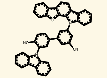 N#Cc1cc(-c2ccc(C#N)c(-n3c4ccccc4c4ccccc43)c2)cc(-n2c3ccccc3c3ccc4c5ccccc5oc4c32)c1